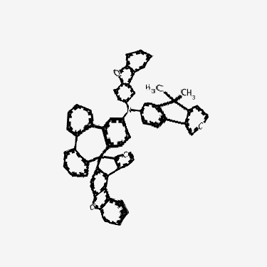 CC1(C)c2ccccc2-c2ccc(N(c3ccc4c(c3)-c3ccccc3-c3ccccc3C43c4ccccc4-c4c3ccc3oc5ccccc5c43)c3ccc4oc5ccccc5c4c3)cc21